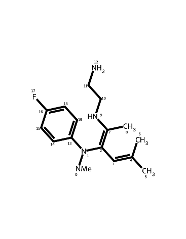 CNN(C(C=C(C)C)=C(C)NCCN)c1ccc(F)cc1